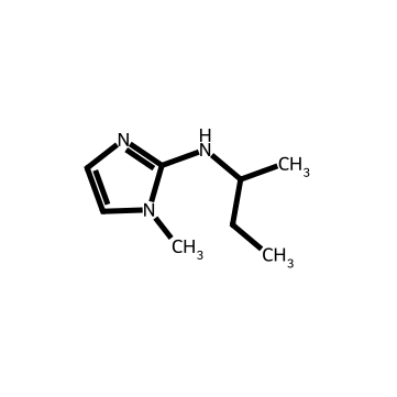 CCC(C)Nc1nccn1C